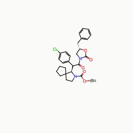 CC(C)(C)OC(=O)N1CCC2(CCCC2)[C@H]1C(C(=O)N1C[C@H](Cc2ccccc2)OC1=O)c1ccc(Cl)cc1